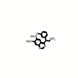 COc1cc2ncnc(C(CN)c3cccc(Cl)c3)c2cc1OC